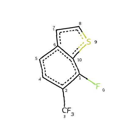 Fc1c(C(F)(F)F)ccc2[c]csc12